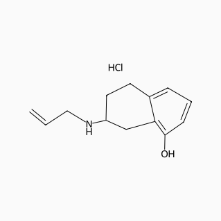 C=CCNC1CCc2cccc(O)c2C1.Cl